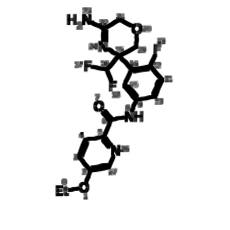 CCOc1ccc(C(=O)Nc2ccc(F)c(C3(C(F)F)COCC(N)=N3)c2)nc1